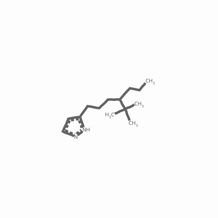 CCCC(CCCc1ccn[nH]1)C(C)(C)C